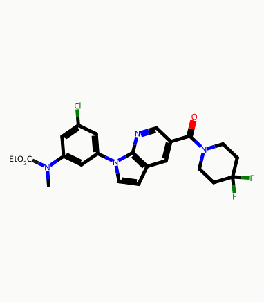 CCOC(=O)N(C)c1cc(Cl)cc(-n2ccc3cc(C(=O)N4CCC(F)(F)CC4)cnc32)c1